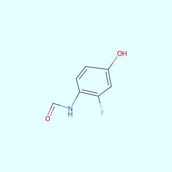 O=CNc1ccc(O)cc1F